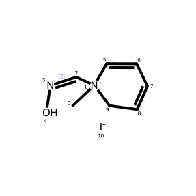 C[N+]1(/C=N\O)C=CC=CC1.[I-]